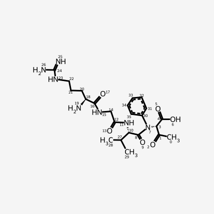 CC(=O)[C@@H](C(=O)O)N(C(=O)[C@@H](NC(=O)CNC(=O)[C@@H](N)CCCNC(=N)N)C(C)C)c1ccccc1